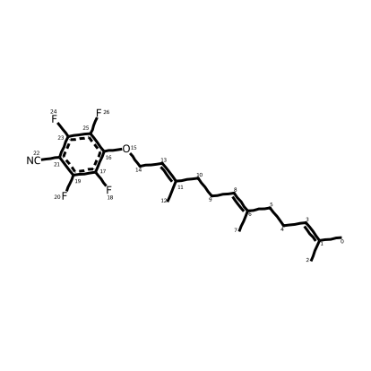 CC(C)=CCC/C(C)=C/CC/C(C)=C/COc1c(F)c(F)c(C#N)c(F)c1F